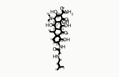 CC(C)=CCNCC(=O)Nc1ccc2c(c1O)C(=O)C1=C(O)[C@]3(O)C(=O)C(C(N)=O)=C(O)[C@@H](N(C)C)C3C(O)C1C2C